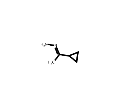 C/C(=N\N)C1CC1